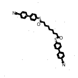 N#Cc1ccc(-c2ccc(SC(=O)CCCCCCCC(=O)Sc3ccc(-c4ccc(C#N)cc4)cc3)cc2)cc1